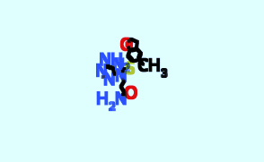 Cc1cc2c(cc1Sc1nc3c(N)ncnc3n1CCC(N)=O)OCC2